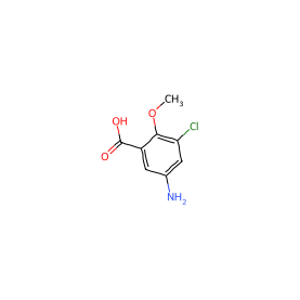 COc1c(Cl)cc(N)cc1C(=O)O